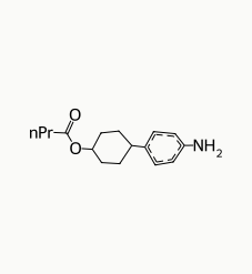 CCCC(=O)OC1CCC(c2ccc(N)cc2)CC1